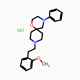 COc1ccccc1CCN1CCC2(CC1)CN(c1ccccc1)CCO2.Cl